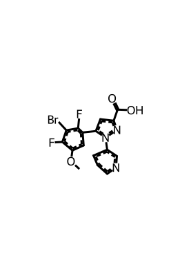 COc1cc(-c2cc(C(=O)O)nn2-c2cccnc2)c(F)c(Br)c1F